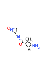 CC(=O)c1cc(C(=O)CN=NCc2ccc[n+]([O-])c2)c(C)cc1N